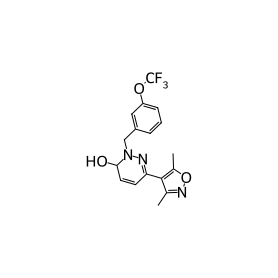 Cc1noc(C)c1C1=NN(Cc2cccc(OC(F)(F)F)c2)C(O)C=C1